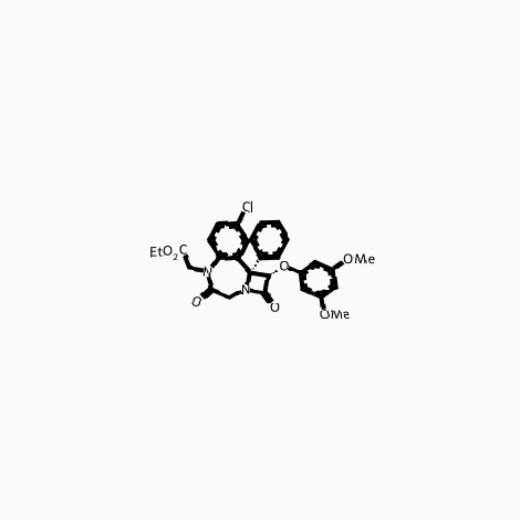 CCOC(=O)CN1C(=O)CN2C(=O)[C@@H](Oc3cc(OC)cc(OC)c3)[C@]2(c2ccccc2)c2cc(Cl)ccc21